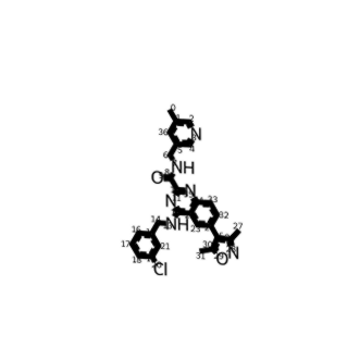 Cc1cncc(CNC(=O)c2nc(NCc3cccc(Cl)c3)c3cc(-c4c(C)noc4C)ccc3n2)c1